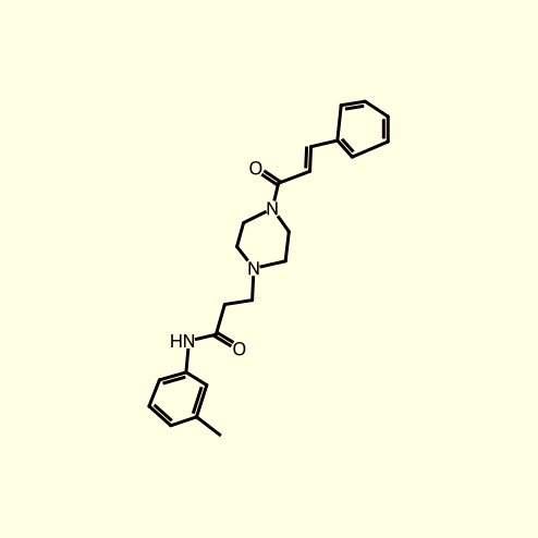 Cc1cccc(NC(=O)CCN2CCN(C(=O)/C=C/c3ccccc3)CC2)c1